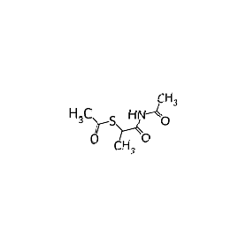 CC(=O)NC(=O)C(C)SC(C)=O